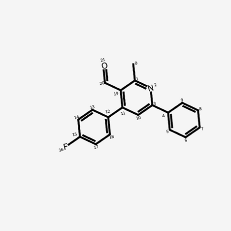 Cc1nc(-c2ccccc2)cc(-c2ccc(F)cc2)c1C=O